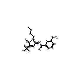 CCCCn1/c(=N/C(=O)c2cccc(CC)c2)cc(C(C)(C)C)n1C